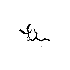 C=CC1(C=C)OCC([C@@H](C)CC)CO1